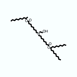 CCCCCCCCC(C)OC(=O)CCCCCCCN(CCO)CCCCCCCC(=O)OC(CCCCCCCC)CCCCCCCC